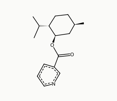 CC(C)[C@@H]1CC[C@@H](C)C[C@H]1OC(=O)c1cccnc1